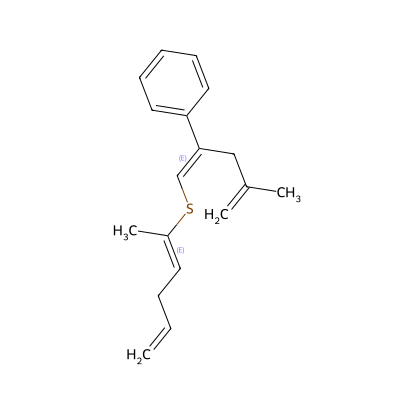 C=CC/C=C(\C)S/C=C(\CC(=C)C)c1ccccc1